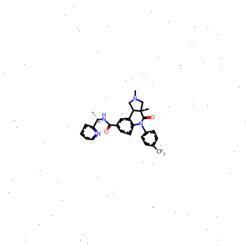 C[C@H](NC(=O)c1ccc2c(c1)C1CN(C)CC1(C)C(=O)N2c1ccc(C(F)(F)F)cc1)c1ccccn1